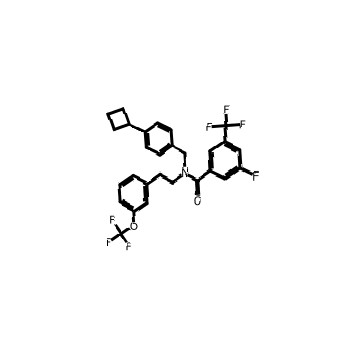 O=C(c1cc(F)cc(C(F)(F)F)c1)N(CCc1cccc(OC(F)(F)F)c1)Cc1ccc(C2CCC2)cc1